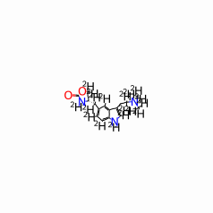 [2H]c1c(C([2H])([2H])[C@@H]2N([2H])C(=O)OC2([2H])[2H])c([2H])c2c(CC([2H])([2H])N(C([2H])([2H])[2H])C([2H])([2H])[2H])c([2H])n([2H])c2c1[2H]